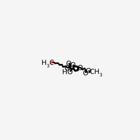 CCCCCCCCOc1c(O)c2ccc(OCCC(=O)OCC)cc2oc1=O